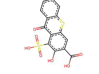 O=C(O)c1cc2sc3ccccc3c(=O)c2c(S(=O)(=O)O)c1O